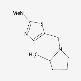 CNc1ncc(CN2CCCC2C)s1